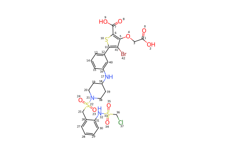 O=C(O)COc1c(C(=O)O)sc(-c2cccc(NC3CCN(S(=O)(=O)Cc4ccccc4NS(=O)(=O)CCl)CC3)c2)c1Br